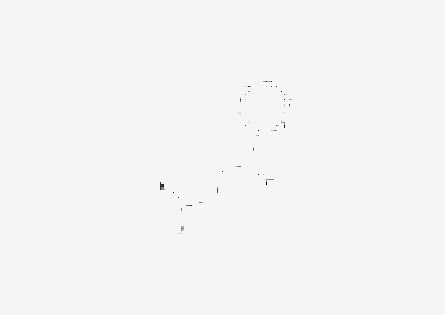 C[C@H](O)CCC(=O)c1ccccc1